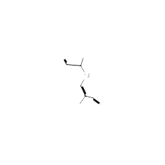 C=C/C(C)=C\NC(C)C=C